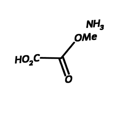 COC(=O)C(=O)O.N